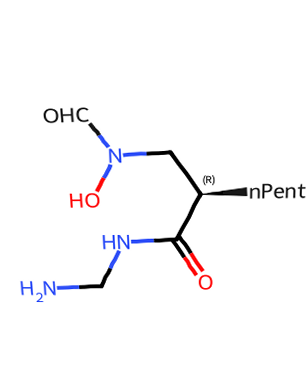 CCCCC[C@H](CN(O)C=O)C(=O)NCN